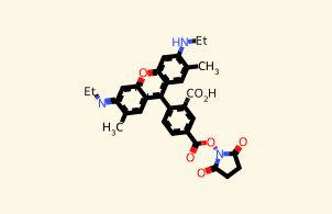 CCN=c1cc2oc3cc(NCC)c(C)cc3c(-c3ccc(C(=O)ON4C(=O)CCC4=O)cc3C(=O)O)c-2cc1C